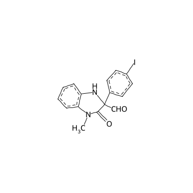 CN1C(=O)C(C=O)(c2ccc(I)cc2)Nc2ccccc21